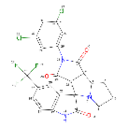 O=C1C2C3CCCN3C3(C(=O)Nc4ccc(C(F)(F)F)cc43)C2C(=O)N1c1cc(Cl)cc(Cl)c1